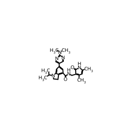 Cc1cc(C)c(CNC(=O)c2cc(-c3cnc(N(C)C)nc3)cc3c2CCN3C(C)C)c(=O)[nH]1